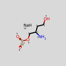 NC(CCO)CO[SH](=O)=O.[NaH]